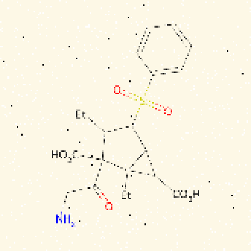 CCC1C(S(=O)(=O)c2ccccc2)C2C(C(=O)O)C2(CC)C1(C(=O)O)C(=O)CN